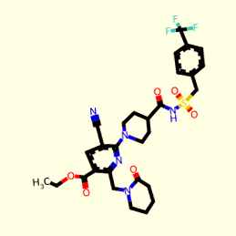 CCOC(=O)c1cc(C#N)c(N2CCC(C(=O)NS(=O)(=O)Cc3ccc(C(F)(F)F)cc3)CC2)nc1CN1CCCCC1=O